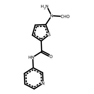 NN(C=O)c1ccc(C(=O)Nc2cccnc2)s1